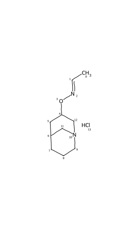 CC=NOC1CC2CCCN(C2)C1.Cl